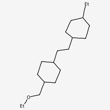 CCOCC1CCC(CCC2CCC(CC)CC2)CC1